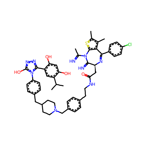 CC(=N)N1C(=N)[C@H](CC(=O)NCCc2ccc(CN3CCC(Cc4ccc(-n5c(O)nnc5-c5cc(C(C)C)c(O)cc5O)cc4)CC3)cc2)N=C(c2ccc(Cl)cc2)c2c1sc(C)c2C